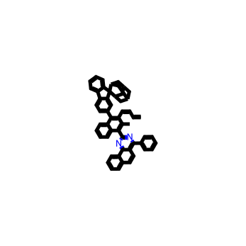 C=C/C=C\c1c(C)c(-c2nc(-c3ccccc3)c3ccc4ccccc4c3n2)c2ccccc2c1-c1ccc2c(c1)C1(c3ccccc3-2)C2CC3CC(C2)CC1C3